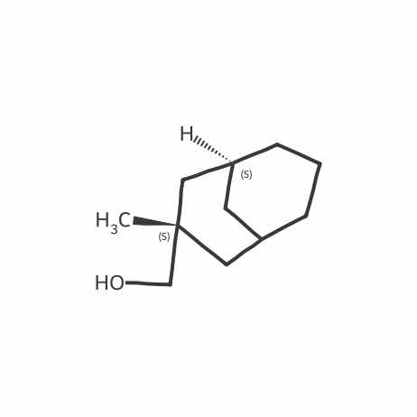 C[C@]1(CO)CC2CCC[C@@H](C2)C1